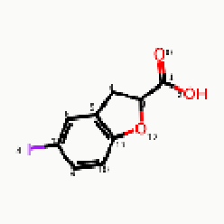 O=C(O)C1Cc2cc(I)ccc2O1